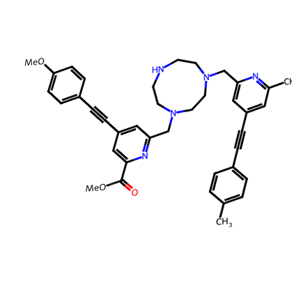 COC(=O)c1cc(C#Cc2ccc(OC)cc2)cc(CN2CCNCCN(Cc3cc(C#Cc4ccc(C)cc4)cc(C)n3)CC2)n1